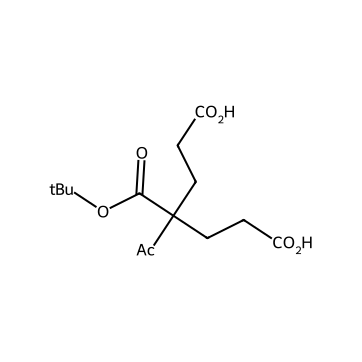 CC(=O)C(CCC(=O)O)(CCC(=O)O)C(=O)OC(C)(C)C